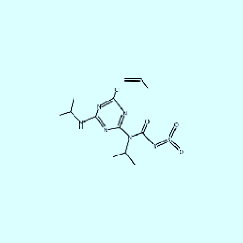 C=CC.CC(C)Nc1nc(Cl)nc(N(C(=O)N=S(=O)=O)C(C)C)n1